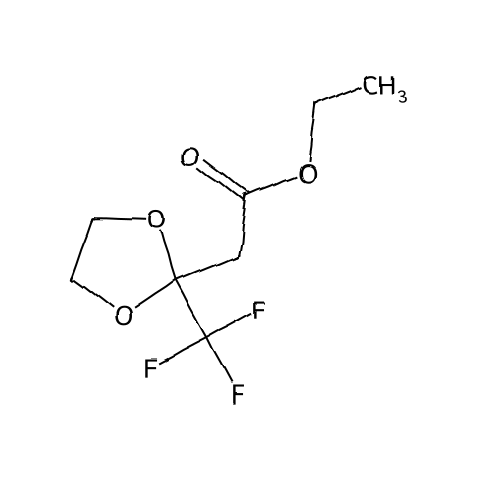 CCOC(=O)CC1(C(F)(F)F)OCCO1